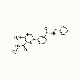 Nc1ncc(-c2cccc(C(=O)NCc3ccccc3)c2)nc1C(=O)NC1CC1